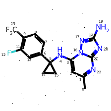 Cc1cc(NC2(c3ccc(C(F)(F)F)c(F)c3)CC2)n2nc(N)nc2n1